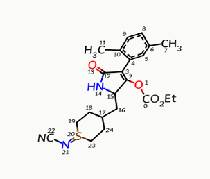 CCOC(=O)OC1=C(c2cc(C)ccc2C)C(=O)NC1CC1CCS(=NC#N)CC1